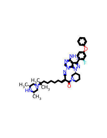 C[C@@H]1CN(C(C)(C)CCCCC/C=C(\C#N)C(=O)N2CCC[C@@H](n3nc(-c4ccc(Oc5ccccc5)cc4F)c4c(N)ncnc43)C2)C[C@H](C)N1